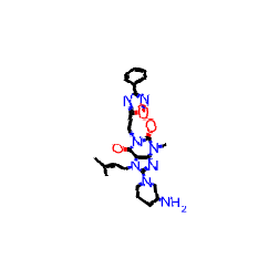 CC(C)=CCn1c(N2CCCC(N)C2)nc2c1c(=O)n(Cc1nc(-c3ccccc3)no1)c(=O)n2C